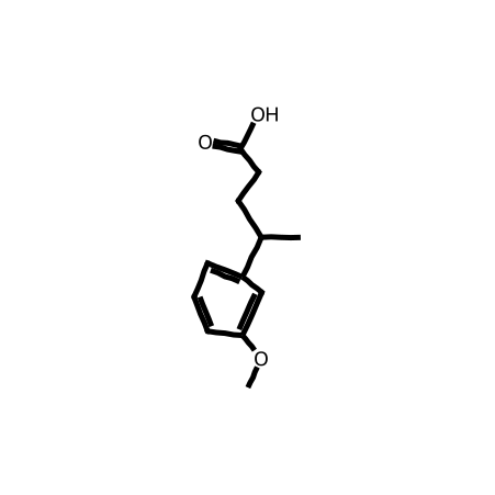 COc1cccc(C(C)CCC(=O)O)c1